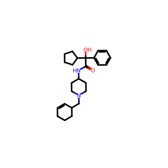 O=C(NC1CCN(CC2C=CCCC2)CC1)C(O)(c1ccccc1)C1CCCC1